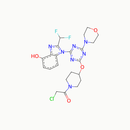 O=C(CCl)N1CCC(Oc2nc(N3CCOCC3)nc(-n3c(C(F)F)nc4c(O)cccc43)n2)CC1